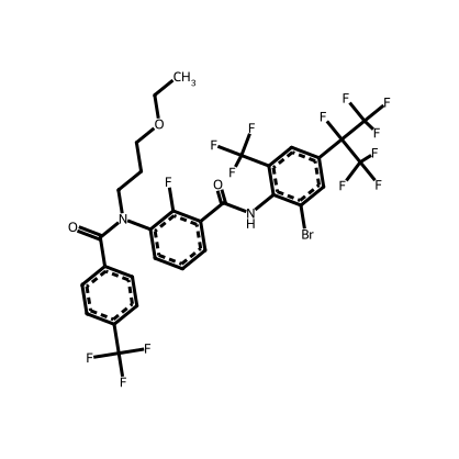 CCOCCCN(C(=O)c1ccc(C(F)(F)F)cc1)c1cccc(C(=O)Nc2c(Br)cc(C(F)(C(F)(F)F)C(F)(F)F)cc2C(F)(F)F)c1F